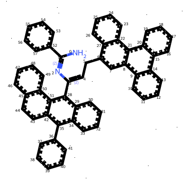 N/C(=N\C(=C/Cc1cc2c3ccccc3c3ccccc3c2c2ccccc12)c1c2ccccc2c(-c2ccccc2)c2ccc3ccccc3c12)c1ccccc1